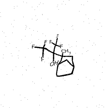 CC1(C(O)(C(F)(F)F)C(F)(F)F)CC2CCC1C2